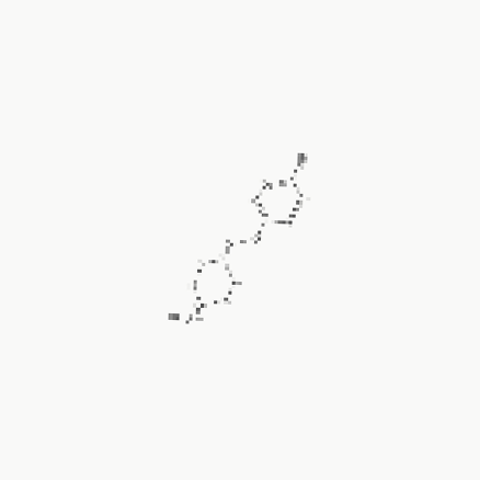 CCc1ccc(OC[C@H]2CC[C@H](C(=O)O)CC2)cc1